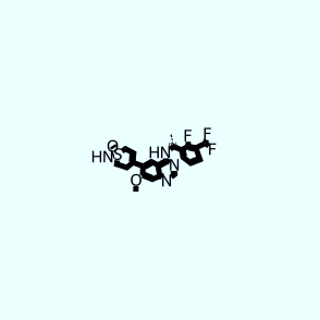 COc1cc2ncnc(N[C@H](C)c3cccc(C(F)F)c3F)c2cc1C1=CCS(=N)(=O)CC1